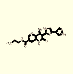 CCCNC(=O)c1cnc2c(c1)NC(=O)/C(=C1/NC=C(c3cn[nH]c3)S1)C2=N